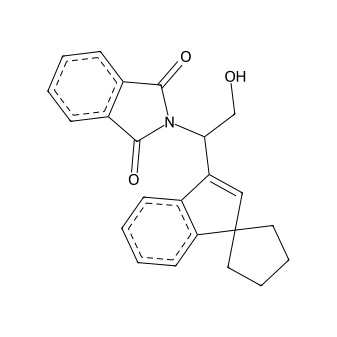 O=C1c2ccccc2C(=O)N1C(CO)C1=CC2(CCCC2)c2ccccc21